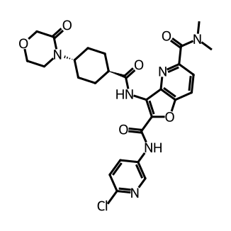 CN(C)C(=O)c1ccc2oc(C(=O)Nc3ccc(Cl)nc3)c(NC(=O)[C@H]3CC[C@H](N4CCOCC4=O)CC3)c2n1